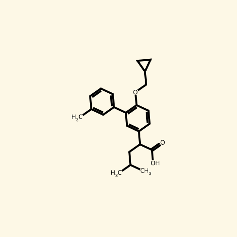 Cc1cccc(-c2cc(C(CC(C)C)C(=O)O)ccc2OCC2CC2)c1